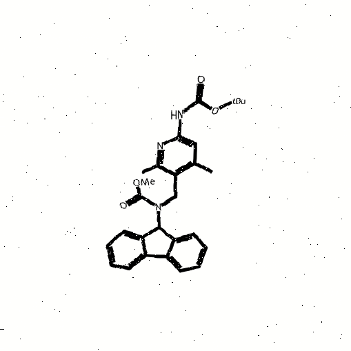 COC(=O)N(Cc1c(C)cc(NC(=O)OC(C)(C)C)nc1C)C1c2ccccc2-c2ccccc21